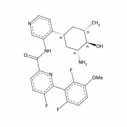 COc1ccc(F)c(-c2nc(C(=O)Nc3cnccc3[C@H]3C[C@@H](N)[C@H](O)[C@@H](C)C3)ccc2F)c1F